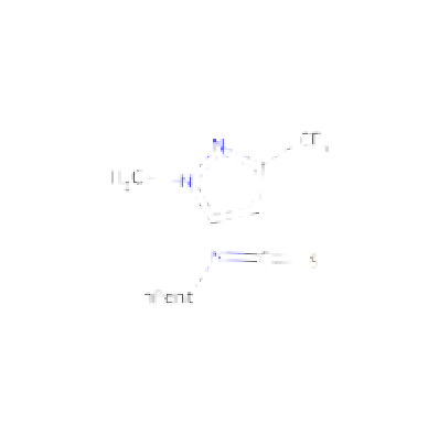 CCCCCN=C=S.Cn1ccc(C(F)(F)F)n1